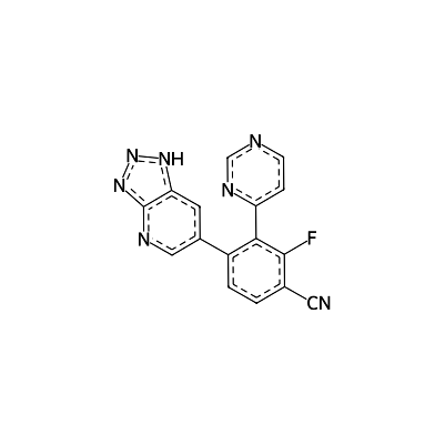 N#Cc1ccc(-c2cnc3nn[nH]c3c2)c(-c2ccncn2)c1F